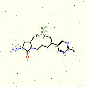 CCOC(=O)C[C@H](CCCN1C(=O)[C@@H](N)C[C@H]1C)c1cnc(C)nc1.Cl.Cl